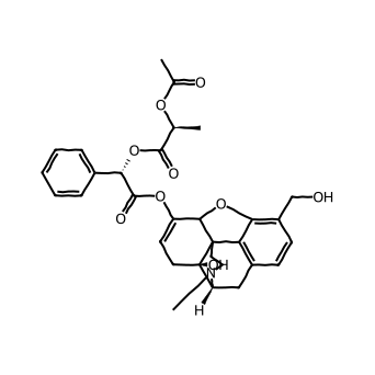 CC(=O)O[C@@H](C)C(=O)O[C@H](C(=O)OC1=CC[C@@]2(O)[C@H]3Cc4ccc(CO)c5c4C2(CCN3C)C1O5)c1ccccc1